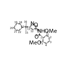 COc1cccc(OC)c1C(=O)Nc1cc(C(C)(C)c2ccccc2)no1